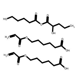 C=CC(=O)OCCCCCC(=O)O.C=CC(=O)OCCCCCC(=O)O.CCCC(O)C(=O)OC(=O)CCCCO